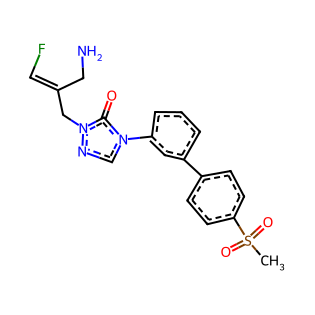 CS(=O)(=O)c1ccc(-c2cccc(-n3cnn(C/C(=C/F)CN)c3=O)c2)cc1